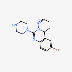 C/C=N\N1C(N2CCNCC2)=Nc2ccc(Br)cc2C1C